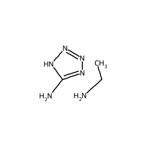 CCN.Nc1nnn[nH]1